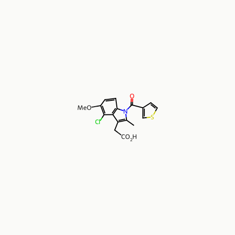 COc1ccc2c(c1Cl)c(CC(=O)O)c(C)n2C(=O)c1ccsc1